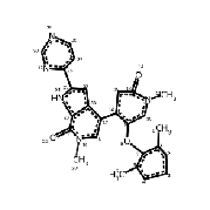 Cc1cccc(C)c1Oc1cn(C)c(=O)cc1-c1cn(C)c(=O)c2[nH]c(-c3ccncn3)cc12